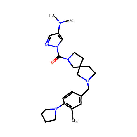 CC(=O)N(C)c1cnn(C(=O)N2CCC3(CCN(Cc4ccc(N5CCCC5)c(C(F)(F)F)c4)C3)C2)c1